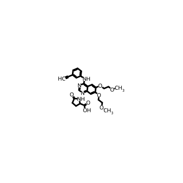 C#Cc1cccc(Nc2ncnc3cc(OCCOC)c(OCCOC)cc23)c1.O=C1CCC(C(=O)O)N1